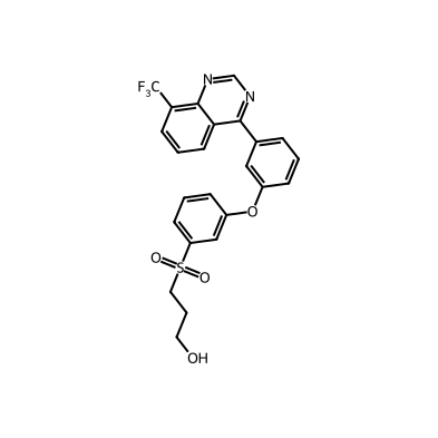 O=S(=O)(CCCO)c1cccc(Oc2cccc(-c3ncnc4c(C(F)(F)F)cccc34)c2)c1